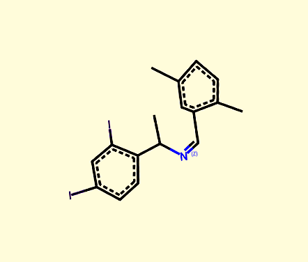 Cc1ccc(C)c(/C=N\C(C)c2ccc(I)cc2I)c1